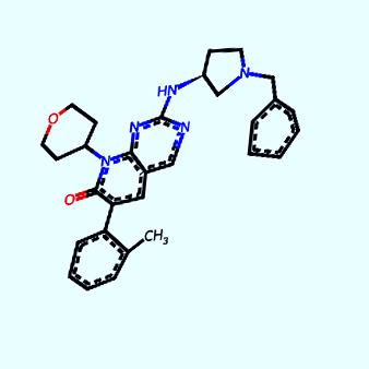 Cc1ccccc1-c1cc2cnc(N[C@H]3CCN(Cc4ccccc4)C3)nc2n(C2CCOCC2)c1=O